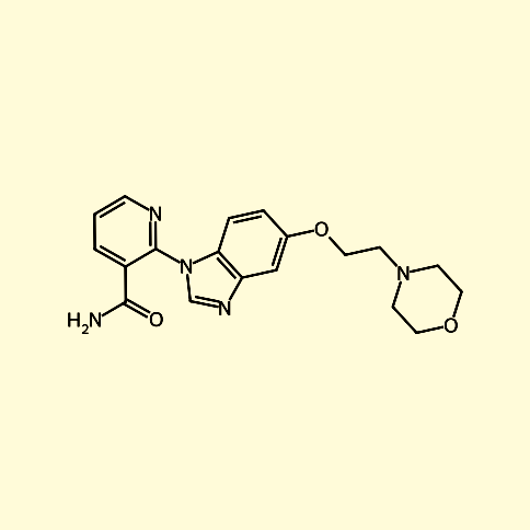 NC(=O)c1cccnc1-n1cnc2cc(OCCN3CCOCC3)ccc21